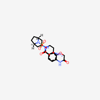 NC1CCN(S(=O)(=O)N2[C@@H]3CC[C@H]2C[C@H](NC(=O)c2ccc4c(c2)OCC(=O)N4)C3)CC1